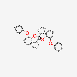 C1=CC[C]([Zr]([O]c2ccccc2Oc2ccccc2)([O]c2ccccc2Oc2ccccc2)[C]2=CC=CC2)=C1